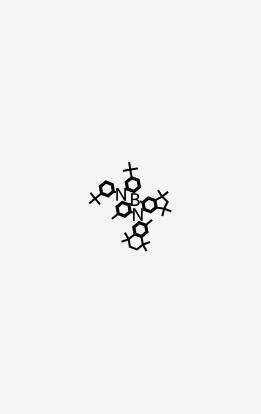 Cc1cc2c3c(c1)N(c1cc4c(cc1C)C(C)(C)CCC4(C)C)c1cc4c(cc1B3c1ccc(C(C)(C)C)cc1N2c1cccc(C(C)(C)C)c1)C(C)(C)CC4(C)C